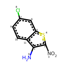 Nc1c([N+](=O)[O-])sc2cc(Cl)ccc12